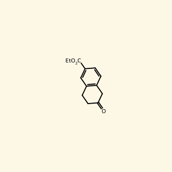 CCOC(=O)c1ccc2c(c1)CCC(=O)C2